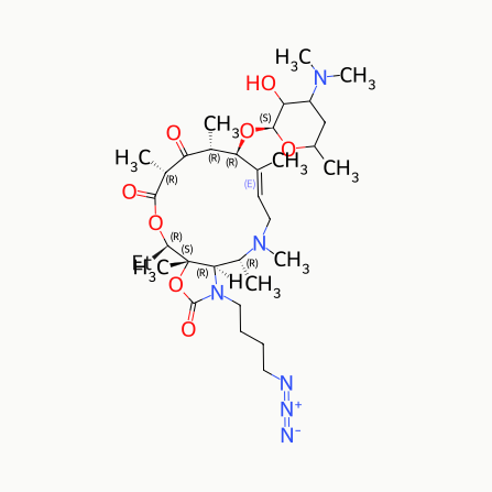 CC[C@H]1OC(=O)[C@H](C)C(=O)[C@H](C)[C@@H](O[C@@H]2OC(C)CC(N(C)C)C2O)/C(C)=C/CN(C)[C@H](C)[C@H]2N(CCCCN=[N+]=[N-])C(=O)O[C@]12C